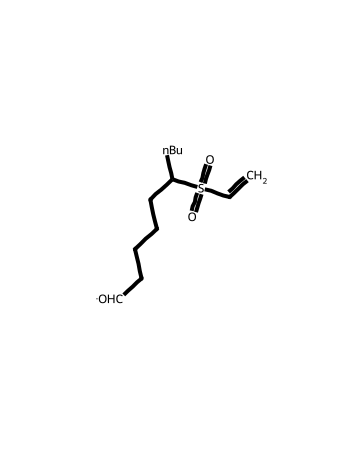 C=CS(=O)(=O)C(CCCC)CCCC[C]=O